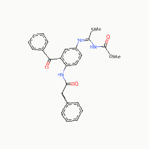 COC(=O)NC(=Nc1ccc(NC(=O)Cc2ccccc2)c(C(=O)c2ccccc2)c1)SC